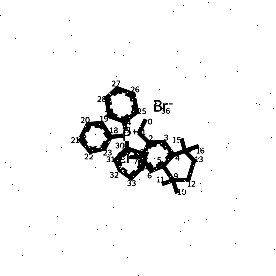 CC(c1cc2c(cc1Cl)C(C)(C)CCC2(C)C)[P+](c1ccccc1)(c1ccccc1)c1ccccc1.[Br-]